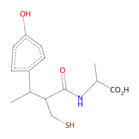 CC(NC(=O)C(CS)C(C)c1ccc(O)cc1)C(=O)O